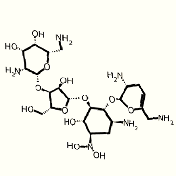 NCC1=CC[C@@H](N)[C@@H](O[C@H]2[C@H](O[C@@H]3O[C@H](CO)[C@@H](O[C@H]4O[C@@H](CN)[C@@H](O)[C@@H](O)[C@H]4N)[C@H]3O)[C@@H](O)[C@H](N(O)O)C[C@@H]2N)O1